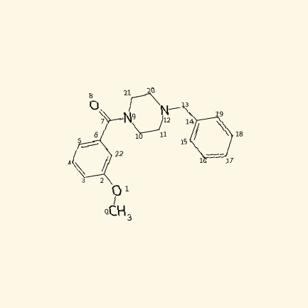 COc1cccc(C(=O)N2CCN(Cc3ccccc3)CC2)c1